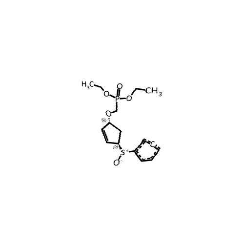 CCOP(=O)(CO[C@H]1C=C[C@H]([S+]([O-])c2ccccc2)C1)OCC